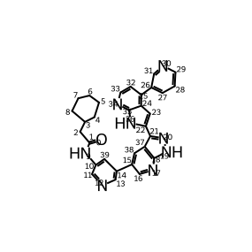 O=C(CC1CCCCC1)Nc1cncc(-c2cnc3[nH]nc(-c4cc5c(-c6cccnc6)ccnc5[nH]4)c3c2)c1